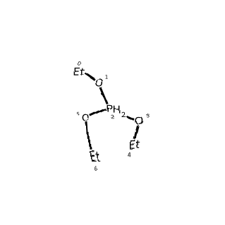 CCO[PH2](OCC)OCC